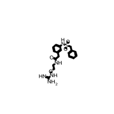 N=C(N)NOCCNC(=O)Cc1cccc(NS(=O)(=O)Cc2ccccc2)c1